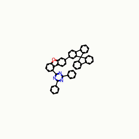 c1ccc(-c2nc(-c3ccccc3)nc(-c3cccc4oc5cc(-c6ccc7c(c6)C6(c8ccccc8-c8ccccc86)c6ccccc6-7)ccc5c34)n2)cc1